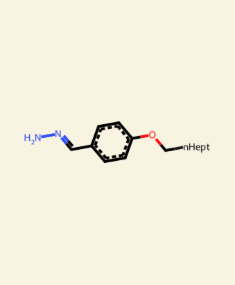 CCCCCCCCOc1ccc(C=NN)cc1